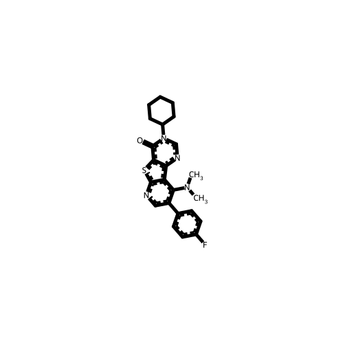 CN(C)c1c(-c2ccc(F)cc2)cnc2sc3c(=O)n(C4CCCCC4)cnc3c12